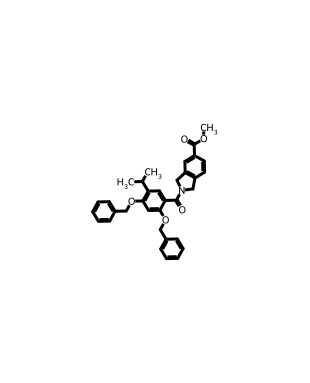 COC(=O)c1ccc2c(c1)CN(C(=O)c1cc(C(C)C)c(OCc3ccccc3)cc1OCc1ccccc1)C2